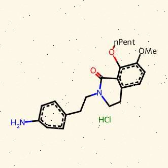 CCCCCOc1c(OC)ccc2c1C(=O)N(CCc1ccc(N)cc1)CC2.Cl